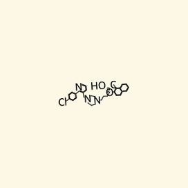 O=C(O)c1c(OCCCN2CCCN(Cc3cccnc3-c3ccc(Cl)cc3)CC2)ccc2ccccc12